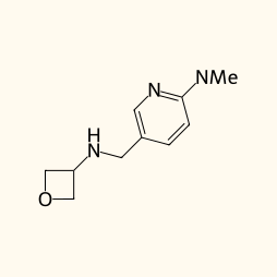 CNc1ccc(CNC2COC2)cn1